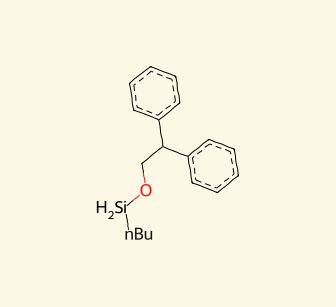 CCCC[SiH2]OCC(c1ccccc1)c1ccccc1